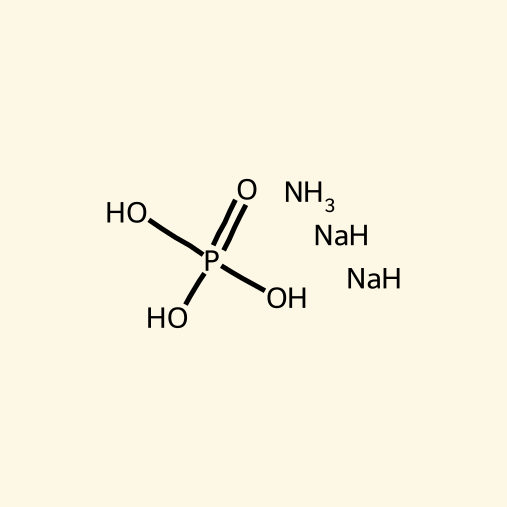 N.O=P(O)(O)O.[NaH].[NaH]